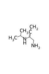 C=C=C(CN)NC(C)C